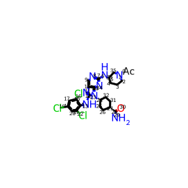 CC(=O)N1CCC[C@@H](Nc2ncc3nc(Nc4c(Cl)cc(Cl)cc4Cl)n([C@H]4CC[C@H](C(N)=O)CC4)c3n2)C1